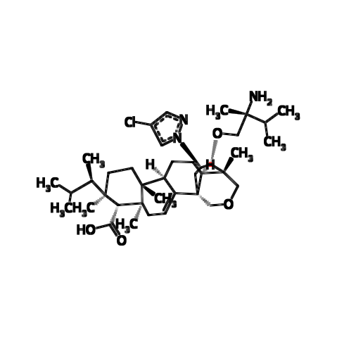 CC(C)[C@@H](C)[C@@]1(C)CC[C@]2(C)[C@H]3CC[C@@H]4[C@@]5(COC[C@@]4(C)[C@@H](OC[C@](C)(N)C(C)C)[C@H](n4cc(Cl)cn4)C5)C3=CC[C@@]2(C)[C@@H]1C(=O)O